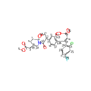 COC(=O)C[C@H]1CCCN(C(=O)C(C=O)c2ccc3c(-c4ccc(F)cc4Cl)cc(=O)oc3c2)C1